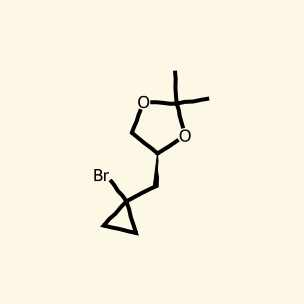 CC1(C)OC[C@H](CC2(Br)CC2)O1